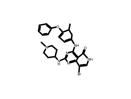 CC1CC(Nc2nc(NC3CCN(C)CC3)nc3c(Br)c[nH]c(=O)c23)=CC=C1Oc1ccccc1